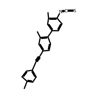 Cc1ccc(C#Cc2ccc(-c3ccc(N=C=S)c(C)c3)c(C)c2)cc1